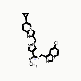 CS/C(=N/Cc1ncn2ccc(Cl)cc12)c1cnn(Cc2cn3cc(C4CC4)ccc3n2)c1